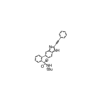 CC(C)(C)NS(=O)(=O)c1ccccc1-c1ccc2[nH]c(C#Cc3ccccc3)nc2c1